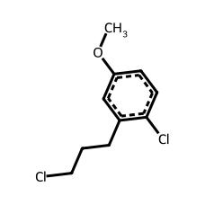 COc1ccc(Cl)c(CCCCl)c1